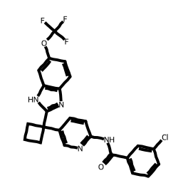 O=C(Nc1ccc(C2(c3nc4ccc(OC(F)(F)F)cc4[nH]3)CCC2)cn1)c1cccc(Cl)c1